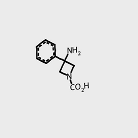 NC1(c2ccccc2)CN(C(=O)O)C1